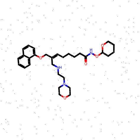 O=C(CCCCC=C(CNCCN1CCOCC1)COc1cccc2ccccc12)NOC1CCCCO1